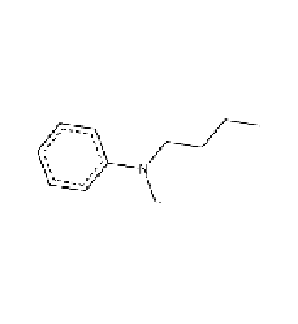 [CH2]N(CCCC)c1ccccc1